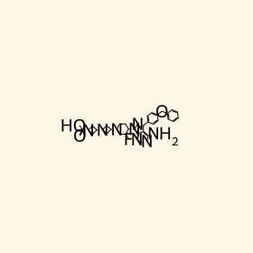 Nc1ncnc2c1c(-c1ccc(Oc3ccccc3)cc1)nn2C1CCN(C2CN(C3CN(C(=O)O)C3)C2)CC1F